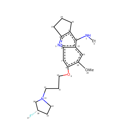 CCNc1c2c(nc3cc(OCCCN4CC[C@H](F)C4)c(OC)cc13)CCC2